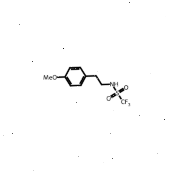 COc1ccc(CCNS(=O)(=O)C(F)(F)F)cc1